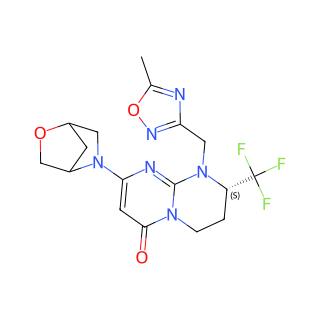 Cc1nc(CN2c3nc(N4CC5CC4CO5)cc(=O)n3CC[C@H]2C(F)(F)F)no1